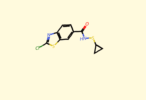 O=C(NSC1CC1)c1ccc2nc(Cl)sc2c1